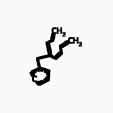 C=C/C=C\C(=C/C=C)Cc1ccccc1